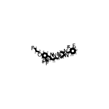 FCCCOc1ccc(-c2ccc(Cn3cc4nc(-c5cccc(F)c5F)nc-4cn3)nn2)c(C(F)(F)F)c1